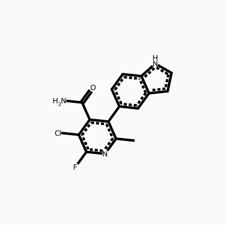 Cc1nc(F)c(Cl)c(C(N)=O)c1-c1ccc2[nH]ccc2c1